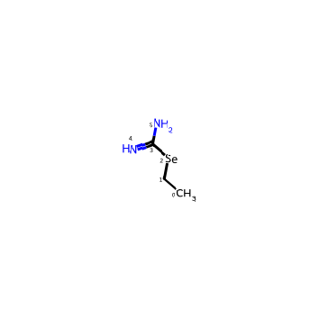 CC[Se]C(=N)N